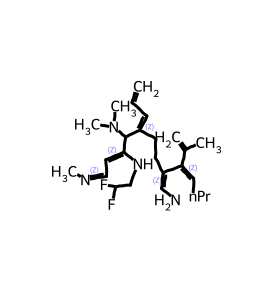 C=C/C=C(/CCC(=C/N)/C(=C\CCC)C(=C)C)C(/C(=C/C=N\C)NCC(F)F)N(C)C